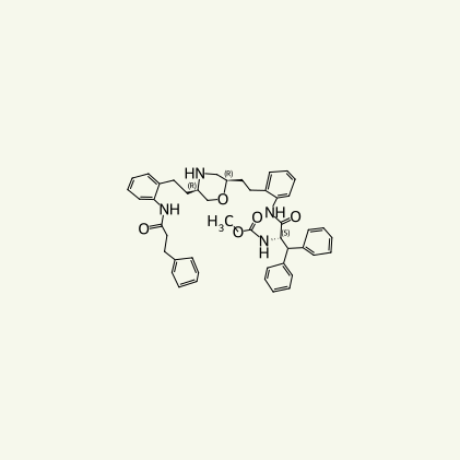 COC(=O)N[C@H](C(=O)Nc1ccccc1CC[C@@H]1CN[C@H](CCc2ccccc2NC(=O)CCc2ccccc2)CO1)C(c1ccccc1)c1ccccc1